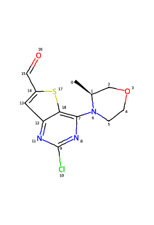 C[C@H]1COCCN1c1nc(Cl)nc2cc(C=O)sc12